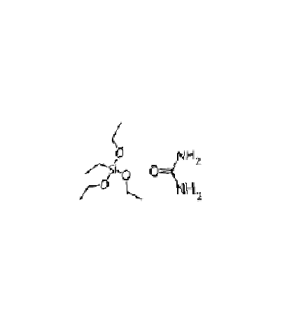 CCO[Si](CC)(OCC)OCC.NC(N)=O